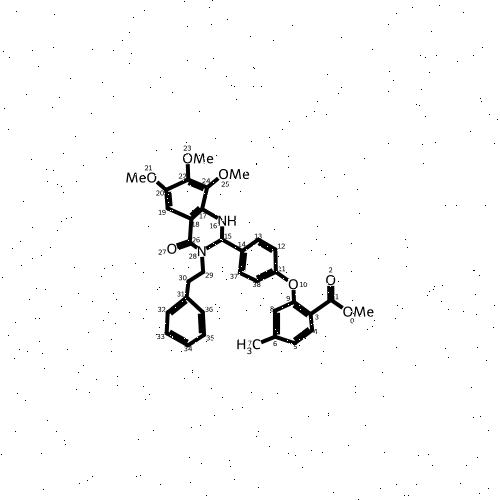 COC(=O)c1ccc(C)cc1Oc1ccc(C2Nc3c(cc(OC)c(OC)c3OC)C(=O)N2CCc2ccccc2)cc1